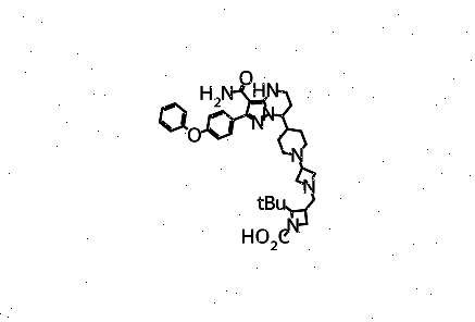 CC(C)(C)C1C(CN2CC(N3CCC(C4CCNc5c(C(N)=O)c(-c6ccc(Oc7ccccc7)cc6)nn54)CC3)C2)CN1C(=O)O